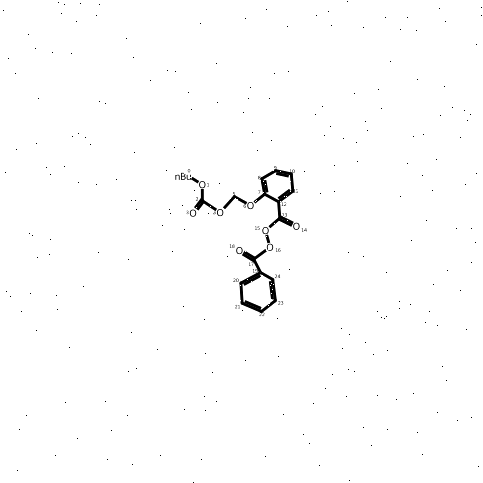 CCCCOC(=O)OCOc1ccccc1C(=O)OOC(=O)c1ccccc1